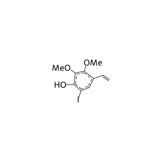 C=Cc1cc(I)c(O)c(OC)c1OC